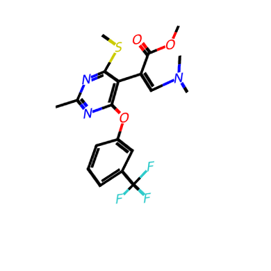 COC(=O)C(=CN(C)C)c1c(Oc2cccc(C(F)(F)F)c2)nc(C)nc1SC